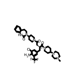 CN1CCCN(C2CCN(C(=O)[C@H](CC(=O)N3CCC(N4CCc5ccccc5NC4=O)CC3)Cc3cc(Cl)c(N)c(C(F)(F)F)c3)CC2)CC1